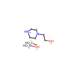 CC(=O)O.O=S(=O)(O)O.OCCN1CCNCC1